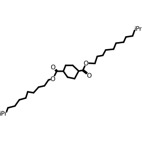 CC(C)CCCCCCCCCOC(=O)C1CCC(C(=O)OCCCCCCCCCC(C)C)CC1